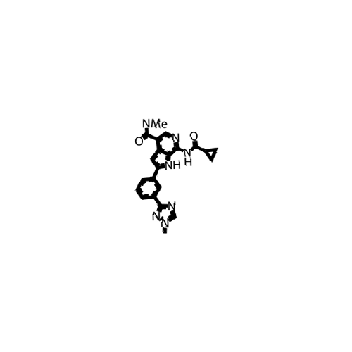 CNC(=O)c1cnc(NC(=O)C2CC2)c2[nH]c(-c3cccc(-c4ncn(C)n4)c3)cc12